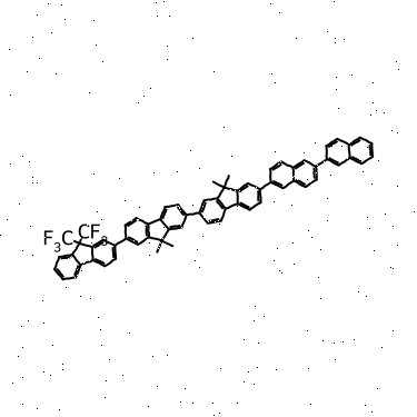 CC1(C)c2cc(-c3ccc4c(c3)C(C)(C)c3cc(-c5ccc6cc(-c7ccc8ccccc8c7)ccc6c5)ccc3-4)ccc2-c2ccc(-c3ccc4c(c3)C(C(F)(F)F)(C(F)(F)F)c3ccccc3-4)cc21